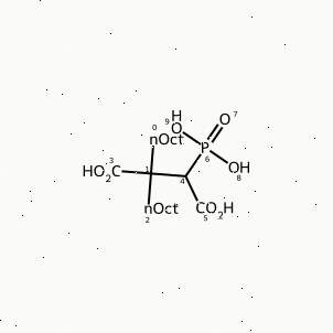 CCCCCCCCC(CCCCCCCC)(C(=O)O)C(C(=O)O)P(=O)(O)O